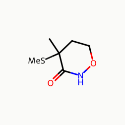 CSC1(C)CCONC1=O